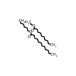 CCCCCCCCCC(=O)OCC.CCCCCCCCCCCC(=O)OCCCCCC